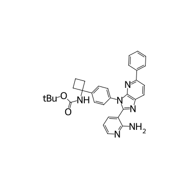 CC(C)(C)OC(=O)NC1(c2ccc(-n3c(-c4cccnc4N)nc4ccc(-c5ccccc5)nc43)cc2)CCC1